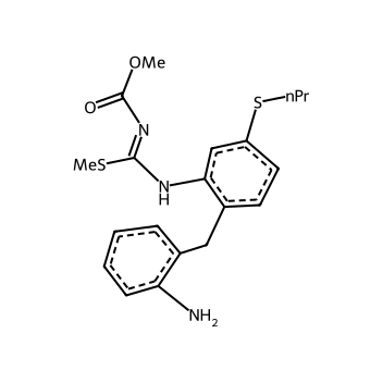 CCCSc1ccc(Cc2ccccc2N)c(NC(=NC(=O)OC)SC)c1